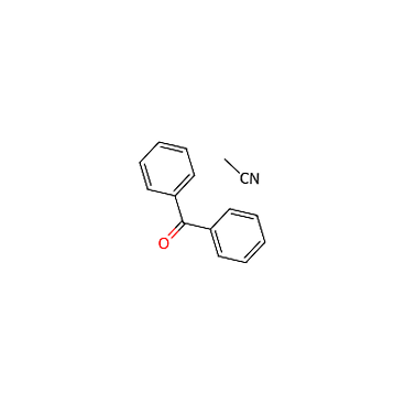 CC#N.O=C(c1ccccc1)c1ccccc1